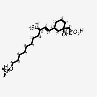 C[SiH](C)OCCCCCCCCC(C=CC1CCCC(O)(CC(=O)O)C1)C(C)(C)C